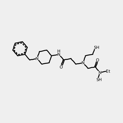 CCN(S)C(=O)CN(CCS)CCC(=O)NC1CCN(Cc2ccccc2)CC1